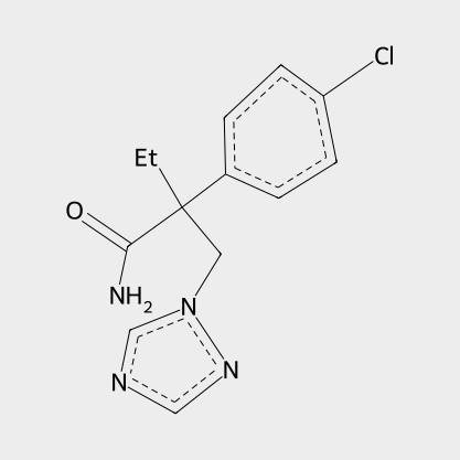 CCC(Cn1cncn1)(C(N)=O)c1ccc(Cl)cc1